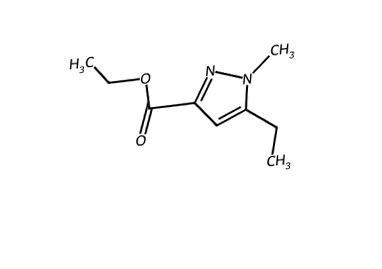 CCOC(=O)c1cc(CC)n(C)n1